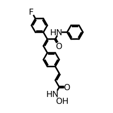 O=C(C=Cc1ccc(C=C(C(=O)Nc2ccccc2)c2ccc(F)cc2)cc1)NO